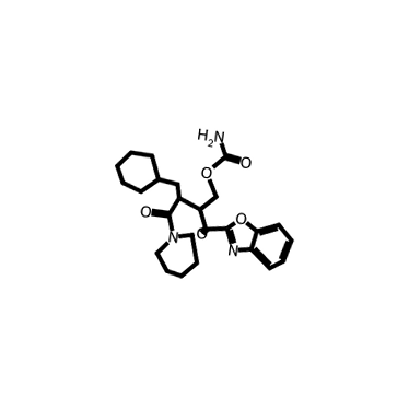 NC(=O)OCC(C(=O)c1nc2ccccc2o1)C(CC1CCCCC1)C(=O)N1CCCCC1